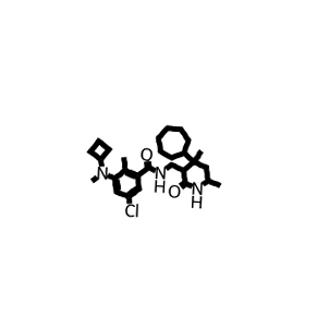 Cc1c(C(=O)NCC2C(=O)NC(C)CC2(C)C2CCCCCC2)cc(Cl)cc1N(C)C1CCC1